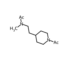 CC(=O)N(C)CCC1CCN(C(C)=O)CC1